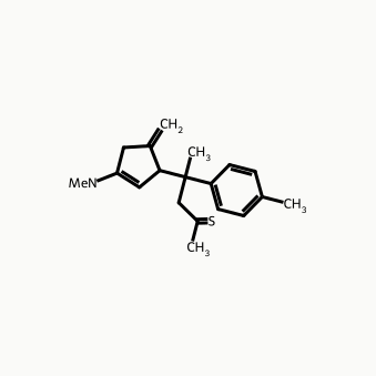 C=C1CC(NC)=CC1C(C)(CC(C)=S)c1ccc(C)cc1